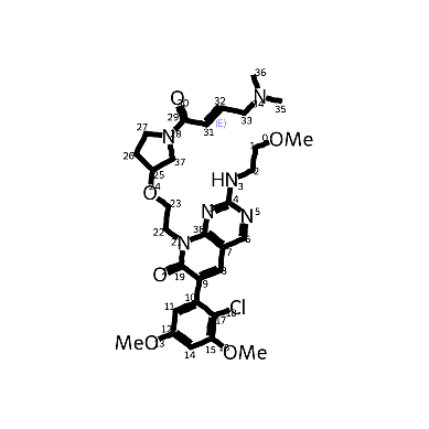 COCCNc1ncc2cc(-c3cc(OC)cc(OC)c3Cl)c(=O)n(CCOC3CCN(C(=O)/C=C/CN(C)C)C3)c2n1